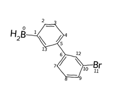 Bc1cccc(-c2cccc(Br)c2)c1